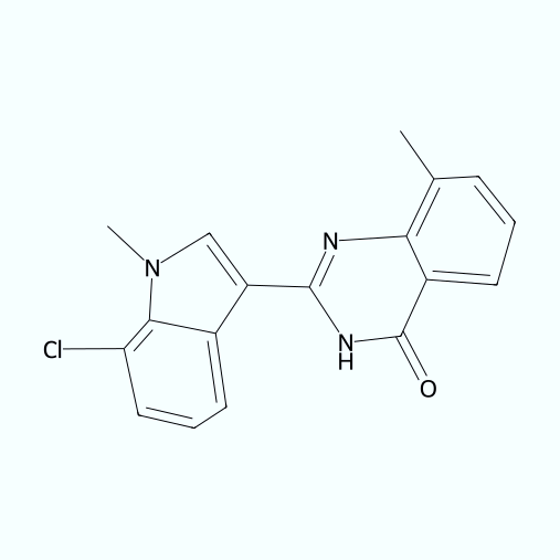 Cc1cccc2c(=O)[nH]c(-c3cn(C)c4c(Cl)cccc34)nc12